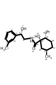 Cc1cccc([C@H](O)CNC(=O)[C@]2(O)C[C@H](C)CC[C@H]2C(C)C)c1